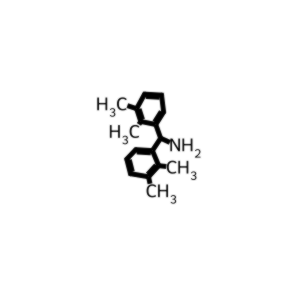 Cc1cccc(C(N)c2cccc(C)c2C)c1C